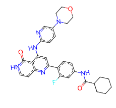 O=C(Nc1ccc(-c2cc(Nc3ccc(N4CCOCC4)cn3)c3c(=O)[nH]ccc3n2)c(F)c1)C1CCCCC1